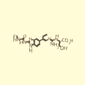 C=C/C(=C\N=C(/N)N[C@@H](CO)C(=O)O)c1ccc2[nH]c(NC(=O)NCC)nc2c1